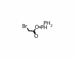 O=C(CBr)OPP